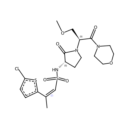 COC[C@@H](C(=O)N1CCOCC1)N1CC[C@H](NS(=O)(=O)/C=C(/C)c2ccc(Cl)s2)C1=O